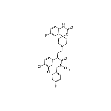 CN(Cc1ccc(F)cc1)C(=O)C(CCN1CCC2(CC1)OC(=O)Nc1ccc(F)cc12)c1ccc(Cl)c(Cl)c1